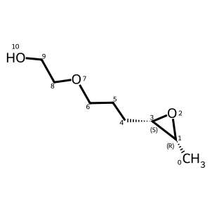 C[C@H]1O[C@H]1CCCOCCO